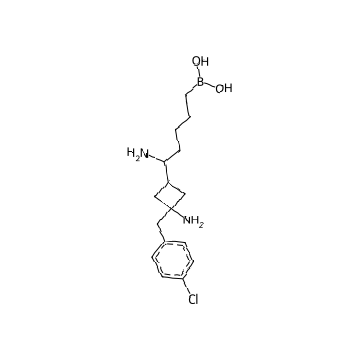 NC(CCCCB(O)O)C1CC(N)(Cc2ccc(Cl)cc2)C1